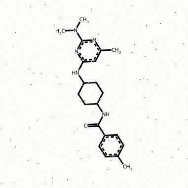 Cc1ccc(C(=O)NC2CCC(Nc3cc(C)nc(N(C)C)n3)CC2)cc1